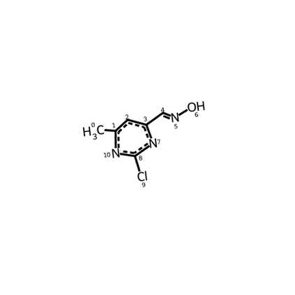 Cc1cc(C=NO)nc(Cl)n1